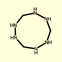 C1NNCNNCNN1